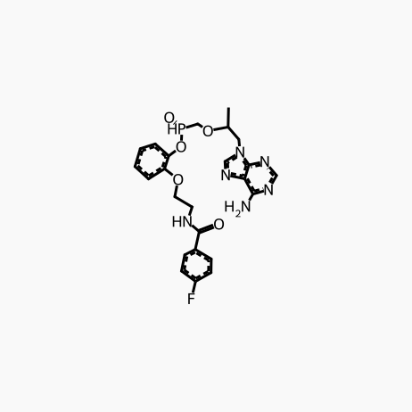 CC(Cn1cnc2c(N)ncnc21)OC[PH](=O)Oc1ccccc1OCCNC(=O)c1ccc(F)cc1